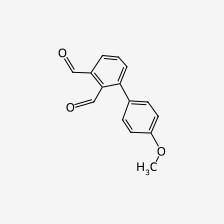 COc1ccc(-c2cccc(C=O)c2C=O)cc1